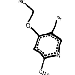 COc1cc(OCC#N)c(C(C)C)cn1